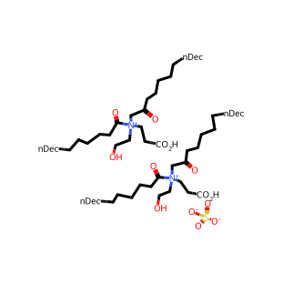 CCCCCCCCCCCCCCCC(=O)C[N+](CCO)(CCC(=O)O)C(=O)CCCCCCCCCCCCCCC.CCCCCCCCCCCCCCCC(=O)C[N+](CCO)(CCC(=O)O)C(=O)CCCCCCCCCCCCCCC.O=S(=O)([O-])[O-]